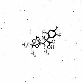 CC(C(=O)OC(C)(C)C)C(N)(C(=O)O)c1cc(F)c(F)cc1F